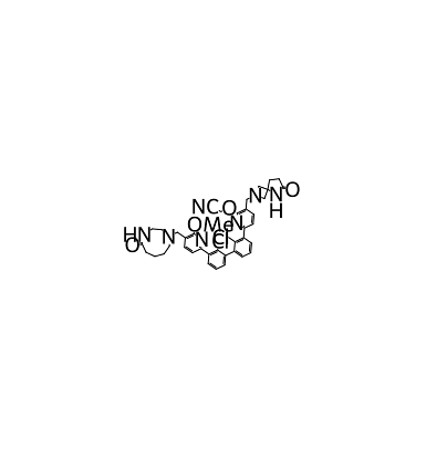 COc1nc(-c2cccc(-c3cccc(-c4ccc(CN5CC6(CCC(=O)N6)C5)c(OCC#N)n4)c3Cl)c2Cl)ccc1CN1CCCCC(=O)NCC1